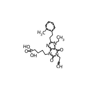 C#CCn1c(=O)c2c(nc(CCc3ccccc3C)n2CC)n(CCCCP(=O)(O)O)c1=O